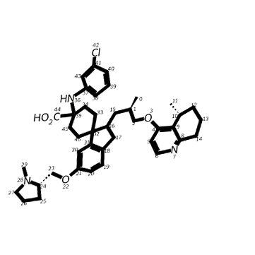 C[C@@H](COc1ccnc2c1[C@H](C)CCC2)CC1Cc2ccc(OC[C@@H]3CCCN3C)cc2C12CCC(Nc1cccc(Cl)c1)(C(=O)O)CC2